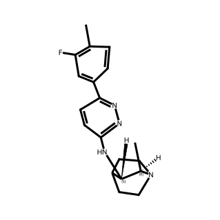 Cc1ccc(-c2ccc(N[C@H]3C4CCN(CC4)[C@@H]3C)nn2)cc1F